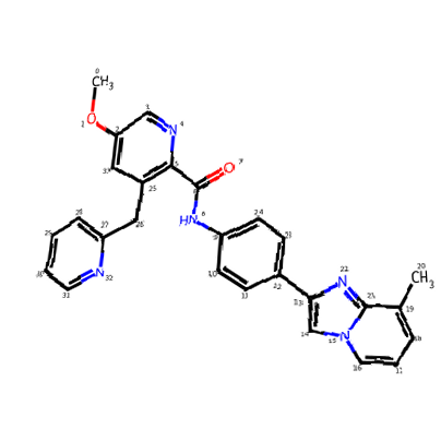 COc1cnc(C(=O)Nc2ccc(-c3cn4cccc(C)c4n3)cc2)c(Cc2ccccn2)c1